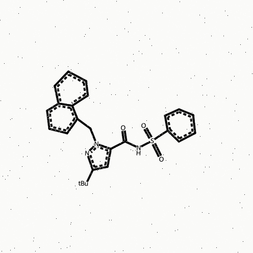 CC(C)(C)c1cc(C(=O)NS(=O)(=O)c2ccccc2)n(Cc2cccc3ccccc23)n1